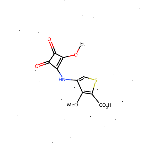 CCOc1c(Nc2csc(C(=O)O)c2OC)c(=O)c1=O